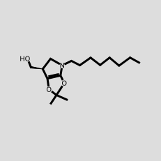 CCCCCCCCN1C[C@H](CO)C2=C1OC(C)(C)O2